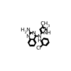 Cc1cc(Nc2nc(N)nc3ccccc23)[nH]n1.Clc1ccccc1